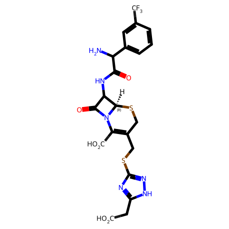 NC(C(=O)NC1C(=O)N2C(C(=O)O)=C(CSc3n[nH]c(CC(=O)O)n3)CS[C@H]12)c1cccc(C(F)(F)F)c1